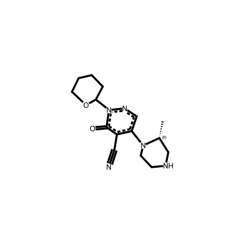 C[C@@H]1CNCCN1c1cnn(C2CCCCO2)c(=O)c1C#N